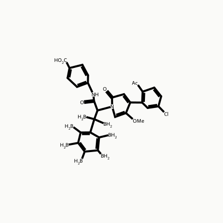 Bc1c(B)c(B)c(C(B)(B)C(C(=O)Nc2ccc(C(=O)O)cc2)n2cc(OC)c(-c3cc(Cl)ccc3C(C)=O)cc2=O)c(B)c1B